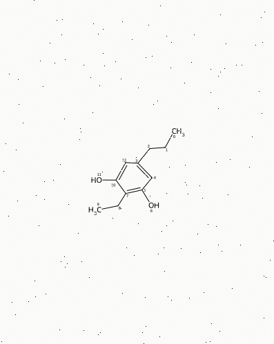 CCCc1cc(O)c(CC)c(O)c1